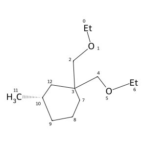 CCOCC1(COCC)CCC[C@H](C)C1